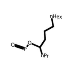 CCCCCCCCCC(CCC)OP=O